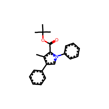 Cc1c(-c2ccccc2)cn(-c2ccccc2)c1C(=O)OC(C)(C)C